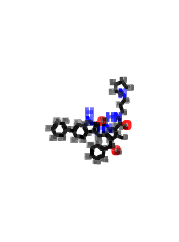 Cc1c(C(=O)NCCCN2CCCC2)[nH]c(/C=C2\C(=O)Nc3cc(-c4ccccc4)ccc32)c1C(=O)c1ccccc1